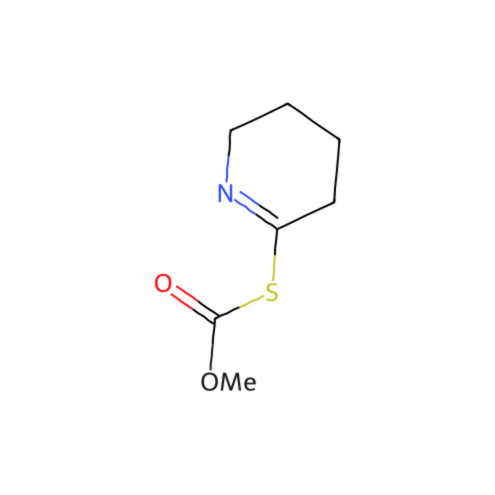 COC(=O)SC1=NCCCC1